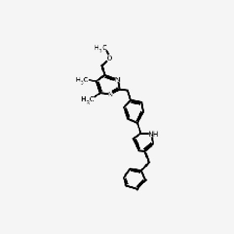 COCc1nc(Cc2ccc(C3C=CC(Cc4ccccc4)=CN3)cc2)nc(C)c1C